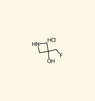 Cl.OC1(CF)CNC1